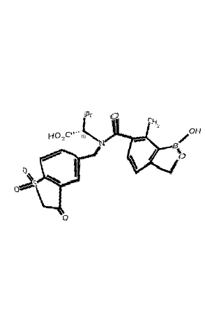 Cc1c(C(=O)N(Cc2ccc3c(c2)C(=O)CS3(=O)=O)[C@H](C(=O)O)C(C)C)ccc2c1B(O)OC2